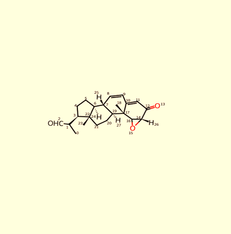 CC(C=O)[C@H]1CC[C@H]2[C@@H]3C=CC4=CC(=O)[C@@H]5OC5[C@]4(C)[C@H]3CC[C@]12C